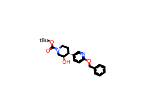 CC(C)(C)OC(=O)N1CC[C@H](c2ccc(OCc3ccccc3)nc2)[C@@H](O)C1